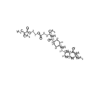 C=C(C)C(=O)OCCOC(=O)CCC(C)NC(=O)c1ccc(NCc2cnc3nc(N)[nH]c(=O)c3n2)cc1